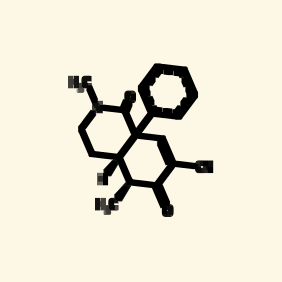 C[C@@H]1C(=O)C(C#N)=CC2(c3ccccc3)C(=O)N(C)CC[C@@H]12